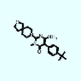 Cn1c(N2CCC3(CCOC3)CC2)nc(N)c(-c2ccc(C(C)(C)C)cc2)c1=O